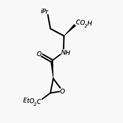 CCOC(=O)C1O[C@@H]1C(=O)N[C@@H](CC(C)C)C(=O)O